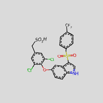 O=S(=O)(O)Cc1cc(Cl)c(Oc2ccc3[nH]cc(S(=O)(=O)c4ccc(C(F)(F)F)cc4)c3c2)c(Cl)c1